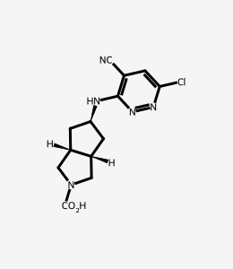 N#Cc1cc(Cl)nnc1N[C@H]1C[C@@H]2CN(C(=O)O)C[C@@H]2C1